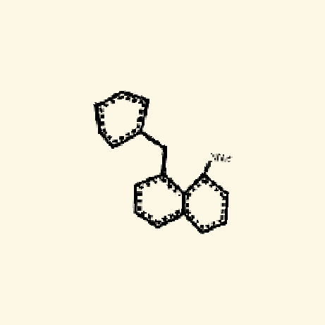 CNc1cccc2cccc(Cc3ccccc3)c12